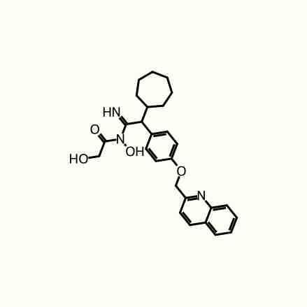 N=C(C(c1ccc(OCc2ccc3ccccc3n2)cc1)C1CCCCCC1)N(O)C(=O)CO